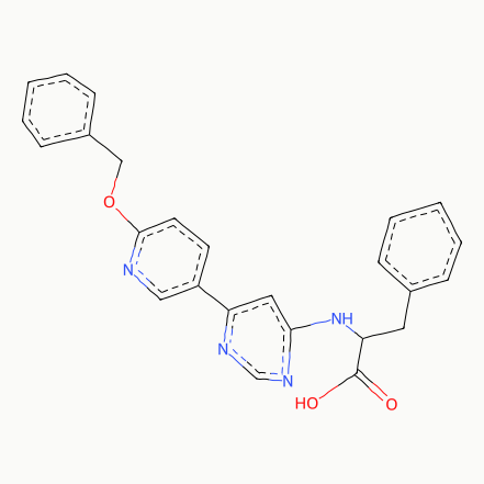 O=C(O)C(Cc1ccccc1)Nc1cc(-c2ccc(OCc3ccccc3)nc2)ncn1